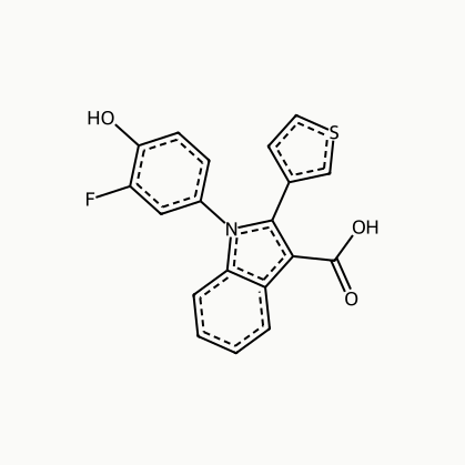 O=C(O)c1c(-c2ccsc2)n(-c2ccc(O)c(F)c2)c2ccccc12